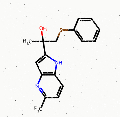 CC(O)(CSc1ccccc1)c1cc2nc(C(F)(F)F)ccc2[nH]1